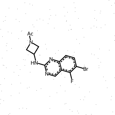 CC(=O)N1CC(Nc2ncc3c(F)c(Br)ccc3n2)C1